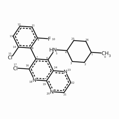 CC1CCC(Nc2c(-c3c(F)cccc3Cl)c(Cl)nc3nccnc23)CC1